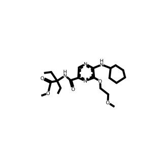 CCC(CC)(NC(=O)c1cnc(NC2CCCCC2)c(OCCOC)n1)C(=O)OC